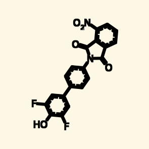 O=C1c2cccc([N+](=O)[O-])c2C(=O)N1c1ccc(-c2cc(F)c(O)c(F)c2)cc1